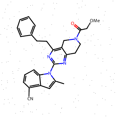 COCC(=O)N1CCc2nc(-n3c(C)cc4c(C#N)cccc43)nc(CCc3ccccc3)c2C1